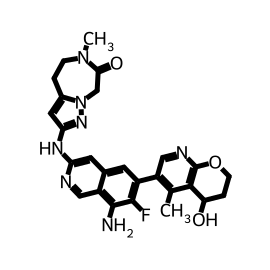 Cc1c(-c2cc3cc(Nc4cc5n(n4)CC(=O)N(C)CC5)ncc3c(N)c2F)cnc2c1C(O)CCO2